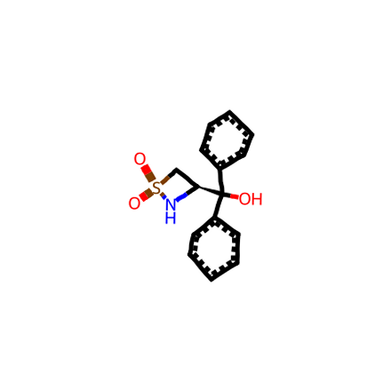 O=S1(=O)C[C@@H](C(O)(c2ccccc2)c2ccccc2)N1